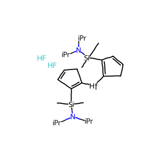 CC(C)N(C(C)C)[Si](C)(C)C1=[C]([Hf][C]2=C([Si](C)(C)N(C(C)C)C(C)C)C=CC2)CC=C1.F.F